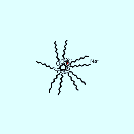 CCCCCCCCCOC1=C(OCCCCCCCCC)C(OCCCCCCCCC)(S(=O)(=O)[O-])C(OCCCCCCCCC)(OCCCCCCCCC)C(OCCCCCCCCC)(OCCCCCCCCC)C1(OCCCCCCCCC)OCCCCCCCCC.[Na+]